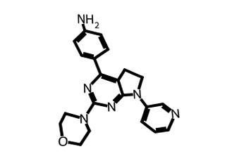 Nc1ccc(-c2nc(N3CCOCC3)nc3c2CCN3c2cccnc2)cc1